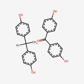 CC(=O)C(C)(c1ccc(O)cc1)c1ccc(O)cc1.O=C(c1ccc(O)cc1)c1ccc(O)cc1